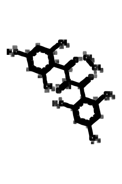 CC.Cc1cc(C)c(C(=O)[PH](=O)C(=O)c2c(C)cc(C)cc2C)c(C)c1